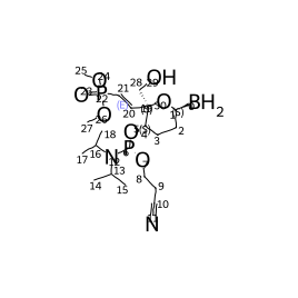 B[C@H]1CC[C@H](OP(OCCC#N)N(C(C)C)C(C)C)[C@](/C=C/P(=O)(OC)OC)(CO)O1